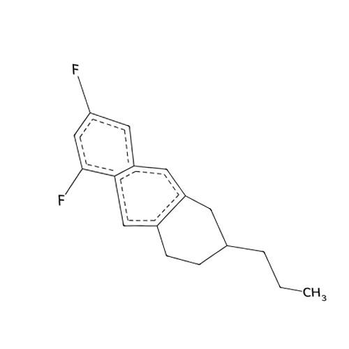 CCCC1CCc2cc3c(F)cc(F)cc3cc2C1